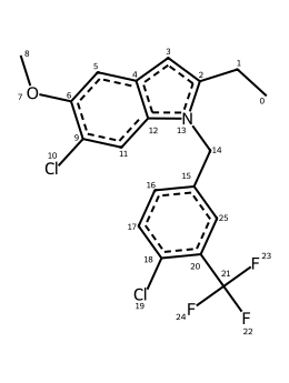 CCc1cc2cc(OC)c(Cl)cc2n1Cc1ccc(Cl)c(C(F)(F)F)c1